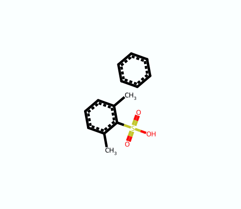 Cc1cccc(C)c1S(=O)(=O)O.c1ccccc1